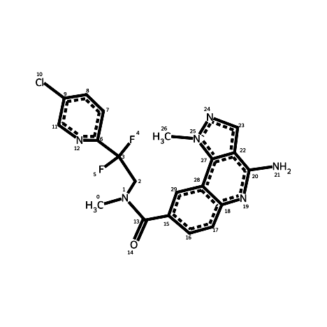 CN(CC(F)(F)c1ccc(Cl)cn1)C(=O)c1ccc2nc(N)c3cnn(C)c3c2c1